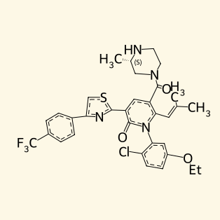 CCOc1ccc(Cl)c(-n2c(C=C(C)C)c(C(=O)N3CCN[C@@H](C)C3)cc(-c3nc(-c4ccc(C(F)(F)F)cc4)cs3)c2=O)c1